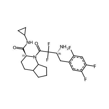 N[C@H](Cc1cc(F)c(F)cc1F)C(F)(F)C(=O)N1C2CCCC2CC[C@H]1C(=O)NC1CC1